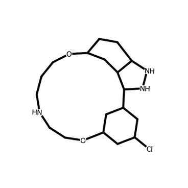 ClC1CC2CC(C1)C1NNC3CCC(CC31)OCCCNCCO2